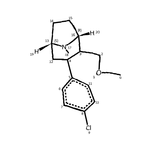 COCC1C(c2ccc(Cl)cc2)C[C@@H]2CC[C@H]1N2C